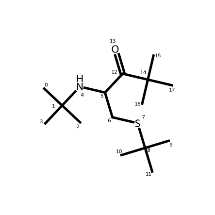 CC(C)(C)NC(CSC(C)(C)C)C(=O)C(C)(C)C